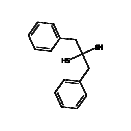 SC(S)(Cc1ccccc1)Cc1ccccc1